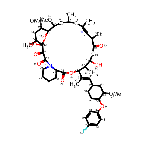 CCC1/C=C(\C)CC(C)CC(OC)C2OC(O)(C(=O)C(=O)N3CCCCC3C(=O)OC(C(C)=CC3CCC(Oc4ccc(F)cc4)C(OC)C3)C(C)C(O)CC1=O)C(C)CC2OC